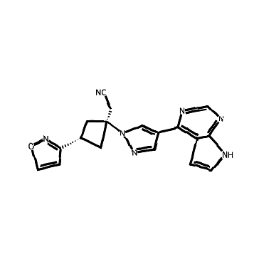 N#CC[C@]1(n2cc(-c3ncnc4[nH]ccc34)cn2)C[C@H](c2ccon2)C1